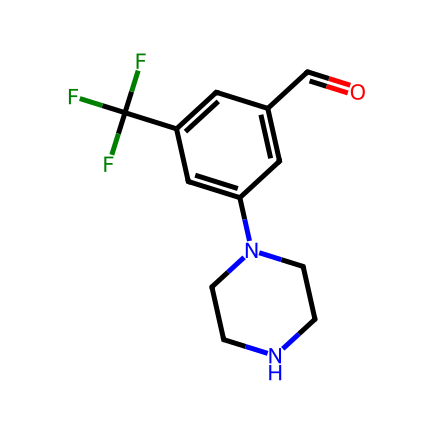 O=Cc1cc(N2CCNCC2)cc(C(F)(F)F)c1